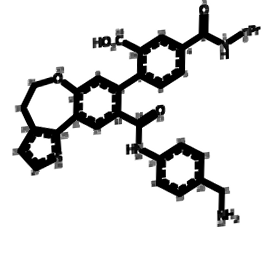 CCCNC(=O)c1ccc(-c2cc3c(cc2C(=O)Nc2ccc(CN)cc2)-c2sccc2CCO3)c(C(=O)O)c1